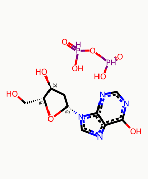 O=[PH](O)O[PH](=O)O.OC[C@H]1O[C@@H](n2cnc3c(O)ncnc32)C[C@@H]1O